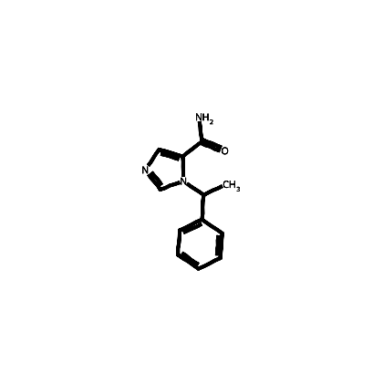 CC(c1ccccc1)n1cncc1C(N)=O